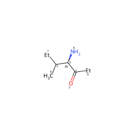 CCC(=O)[C@H](N)C(C)CC